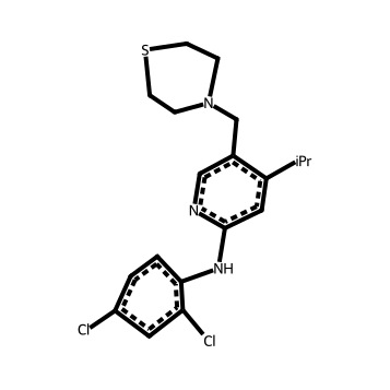 CC(C)c1cc(Nc2ccc(Cl)cc2Cl)ncc1CN1CCSCC1